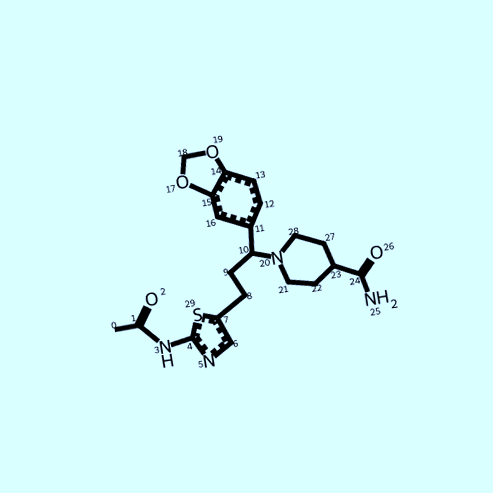 CC(=O)Nc1ncc(CCC(c2ccc3c(c2)OCO3)N2CCC(C(N)=O)CC2)s1